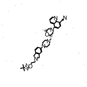 C[C@@H]1CN(c2ccc(C#N)c3ncccc23)C[C@H](CN2CCN(c3ccc4c(c3)CN(CCO[Si](C)(C)C(C)(C)C)C4)CC2)O1